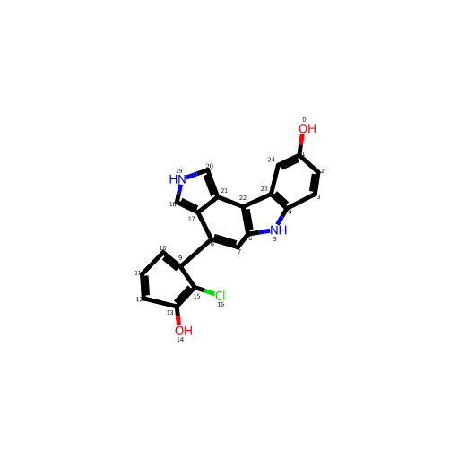 Oc1ccc2[nH]c3cc(-c4cccc(O)c4Cl)c4c[nH]cc4c3c2c1